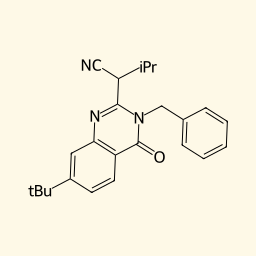 CC(C)C(C#N)c1nc2cc(C(C)(C)C)ccc2c(=O)n1Cc1ccccc1